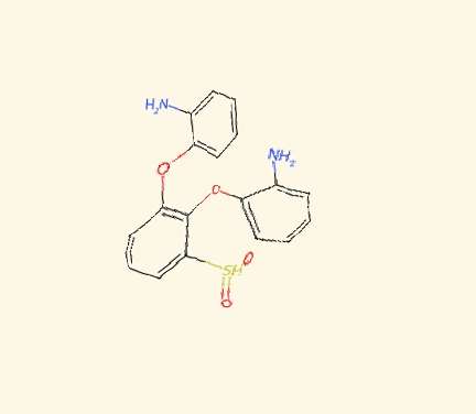 Nc1ccccc1Oc1cccc([SH](=O)=O)c1Oc1ccccc1N